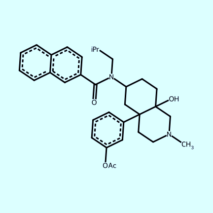 CC(=O)Oc1cccc(C23CCN(C)CC2(O)CCC(N(CC(C)C)C(=O)c2ccc4ccccc4c2)C3)c1